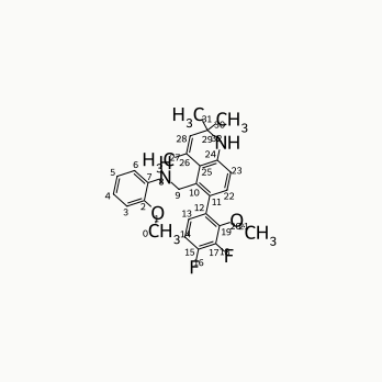 COc1ccccc1NCc1c(-c2ccc(F)c(F)c2OC)ccc2c1C(C)=CC(C)(C)N2